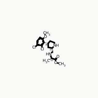 COC(=O)[C@H](C)NC[C@@H]1C[C@H](c2c(OC)ccc(Cl)c2Cl)CCN1